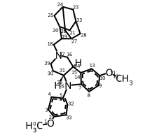 COc1ccc(N2c3ccc(OC)cc3[C@@H]3CN(CC4C5CC6CC(C5)CC4C6)CC[C@H]32)cc1